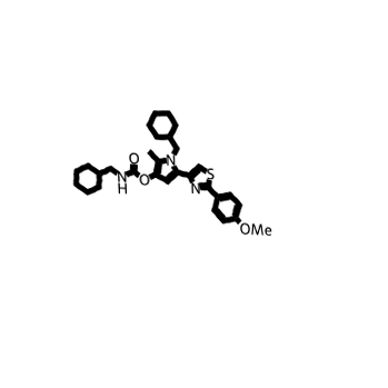 COc1ccc(-c2nc(-c3cc(OC(=O)NCC4CCCCC4)c(C)n3CC3CCCCC3)cs2)cc1